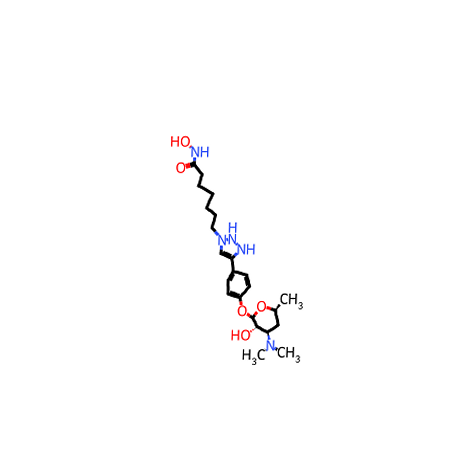 C[C@H]1C[C@@H](N(C)C)[C@H](O)C(Oc2ccc(C3=CN(CCCCCCC(=O)NO)NN3)cc2)O1